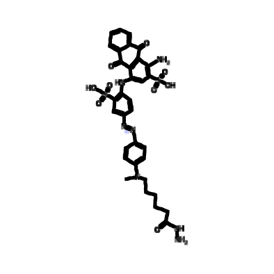 CN(CCCCCC(=O)NN)c1ccc(/N=N/c2ccc(Nc3cc(S(=O)(=O)O)c(N)c4c3C(=O)c3ccccc3C4=O)c(S(=O)(=O)O)c2)cc1